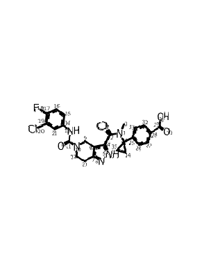 CN(C(=O)c1[nH]nc2c1CN(C(=O)Nc1ccc(F)c(Cl)c1)CC2)C1(c2ccc(C(=O)O)cc2)CC1